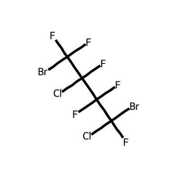 FC(F)(Br)C(F)(Cl)C(F)(F)C(F)(Cl)Br